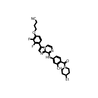 CCC1CCN(C(=O)c2ccc(Nc3nccn4c(-c5ccc(OCCCC#N)c(F)c5F)cnc34)cc2C)CC1